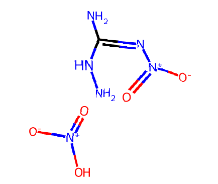 NNC(N)=N[N+](=O)[O-].O=[N+]([O-])O